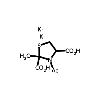 CC(=O)N1C(C(=O)O)CSC1(C)C(=O)O.[K].[K]